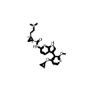 COc1nccc(OC2CC2)c1-c1c[nH]c2nc(NC(=O)[C@@H]3C[C@H]3CCN(C)C)ccc12